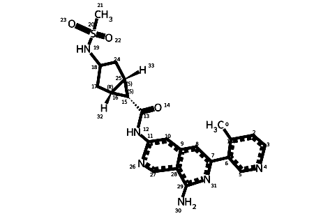 Cc1ccncc1-c1cc2cc(NC(=O)[C@@H]3[C@@H]4CC(NS(C)(=O)=O)C[C@@H]43)ncc2c(N)n1